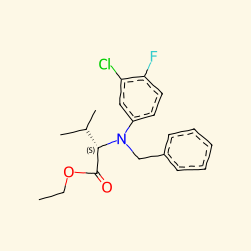 CCOC(=O)[C@H](C(C)C)N(Cc1ccccc1)c1ccc(F)c(Cl)c1